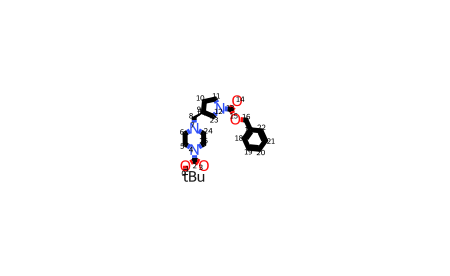 CC(C)(C)OC(=O)N1CCN(C[C@H]2CCN(C(=O)OCc3ccccc3)C2)CC1